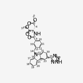 COC(=O)C[C@H](NC(=O)c1cccc(Cn2c3ccccc3c3cc(-c4nn[nH]n4)ccc32)c1)C(=O)OC